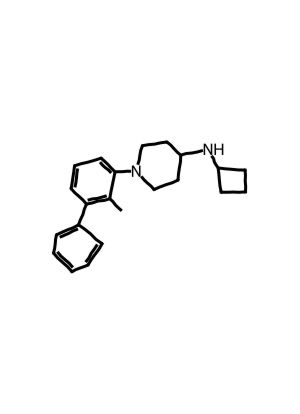 Cc1c(-c2ccccc2)cccc1N1CCC(NC2CCC2)CC1